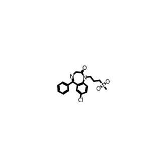 CS(=O)(=O)CCCN1C(=O)CN=C(c2ccccc2)c2cc(Cl)ccc21